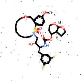 COc1ccc2c(c1)COCCCCCCCN(C[C@@H](O)[C@H](Cc1cc(F)cc(F)c1)NC(=O)O[C@H]1CCO[C@H]3OCC[C@H]31)S2(=O)=O